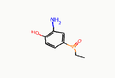 CC[P](=O)c1ccc(O)c(N)c1